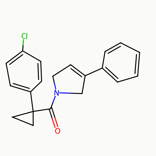 O=C(N1CC=C(c2ccccc2)C1)C1(c2ccc(Cl)cc2)CC1